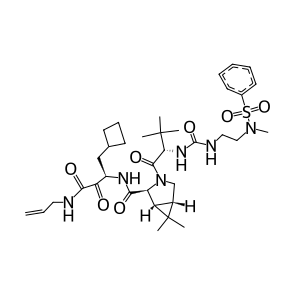 C=CCNC(=O)C(=O)[C@@H](CC1CCC1)NC(=O)[C@@H]1[C@@H]2[C@H](CN1C(=O)[C@@H](NC(=O)NCCN(C)S(=O)(=O)c1ccccc1)C(C)(C)C)C2(C)C